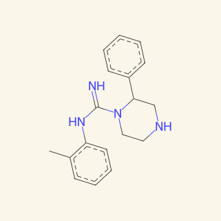 Cc1ccccc1NC(=N)N1CCNCC1c1ccccc1